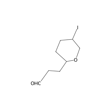 O=CCCC1CCC(I)CO1